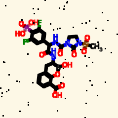 CS(=O)(=O)N1CCN(C(=O)NC(C(=O)NC2Cc3cccc(C(=O)O)c3OB2O)c2cc(F)c(P(=O)(O)O)c(F)c2)C1=O